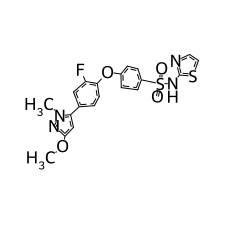 COc1cc(-c2ccc(Oc3ccc(S(=O)(=O)Nc4nccs4)cc3)c(F)c2)n(C)n1